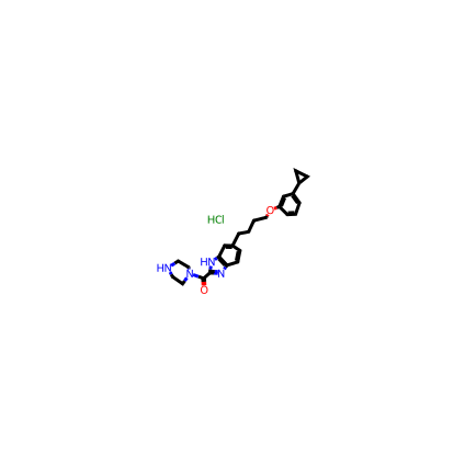 Cl.O=C(c1nc2ccc(CCCCOc3cccc(C4CC4)c3)cc2[nH]1)N1CCNCC1